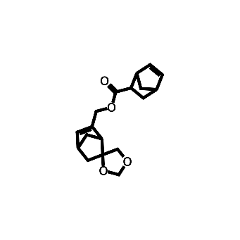 O=C(OCC1=CC2CC1C1(COCO1)C2)C1CC2C=CC1C2